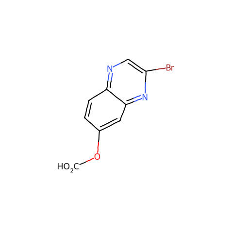 O=C(O)Oc1ccc2ncc(Br)nc2c1